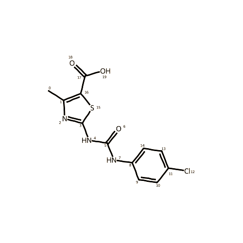 Cc1nc(NC(=O)Nc2ccc(Cl)cc2)sc1C(=O)O